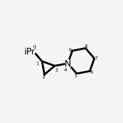 CC(C)C1CC1N1CCCCC1